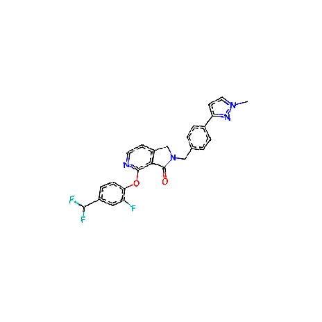 Cn1ccc(-c2ccc(CN3Cc4ccnc(Oc5ccc(C(F)F)cc5F)c4C3=O)cc2)n1